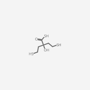 O=C(S)C(O)(CCS)CCS